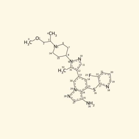 COCC(C)N1CCC(n2ncc(-c3cc(Sc4ncccc4F)c4c(N)cnn4c3)c2C)CC1